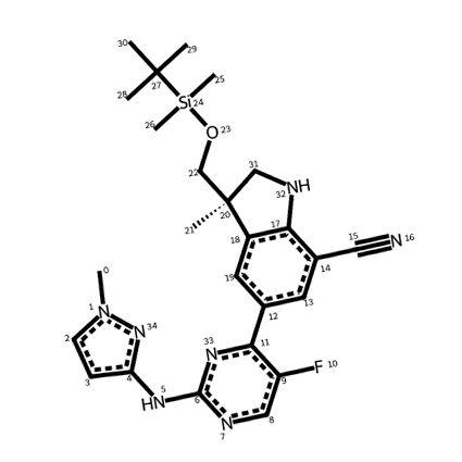 Cn1ccc(Nc2ncc(F)c(-c3cc(C#N)c4c(c3)[C@@](C)(CO[Si](C)(C)C(C)(C)C)CN4)n2)n1